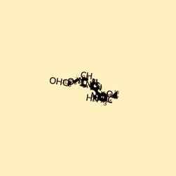 C[C@H]1CN(c2cc(-c3n[nH]c4ccc(OC5(C)CC5)cc34)ncn2)CCN1CCOCC=O